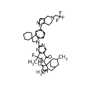 CC1CC2CC(C)C(NC(=O)c3cnc(N4CC5(CCCCC5)c5cc(-n6ncc7c6CCN(CC(F)(F)F)C7)ccc54)nc3C(C)(F)F)(C(=O)O)C(C1)C2